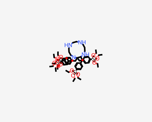 CCO[Si](OCC)(OCC)c1ccc(CC2NCCCNCCNCCCN(Cc3ccc([Si](OCC)(OCC)OCC)cc3)C2(Cc2ccc([Si](OCC)(OCC)OCC)cc2)Cc2ccc([Si](OCC)(OCC)OCC)cc2)cc1